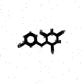 O=C1NC(=O)C(Cc2cccc(Cl)c2)C(=O)N1